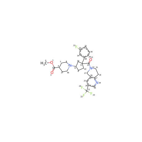 COC(=O)C1CCN(C2CCC(C(=O)N3CCc4ncc(C(F)(F)F)cc4C3)(c3cccc(F)c3)C2)CC1